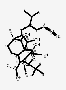 CC(C)C(CN=[N+]=[N-])CC1C(O)C23C(O)[C@H]1CCC2[C@@]1([C@@H](C)O)CO[C@]3(O)[C@@H](O)[C@@H]1C(C)(C)C